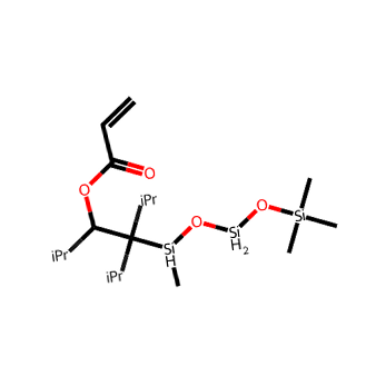 C=CC(=O)OC(C(C)C)C(C(C)C)(C(C)C)[SiH](C)O[SiH2]O[Si](C)(C)C